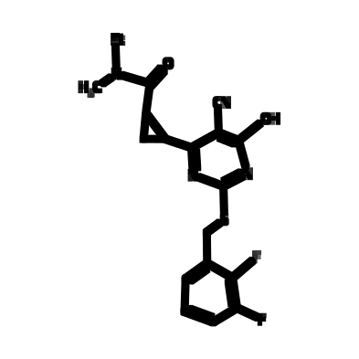 CCN(C)C(=O)C1CC1c1nc(SCc2cccc(F)c2F)nc(O)c1C#N